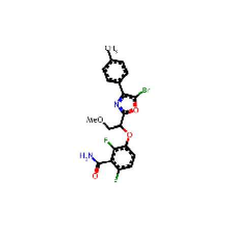 COCC(Oc1ccc(F)c(C(N)=O)c1F)c1nc(-c2ccc(C)cc2)c(Br)o1